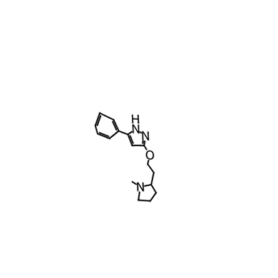 CN1CCCC1CCOc1cc(-c2ccccc2)[nH]n1